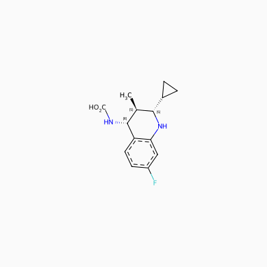 C[C@@H]1[C@@H](NC(=O)O)c2ccc(F)cc2N[C@H]1C1CC1